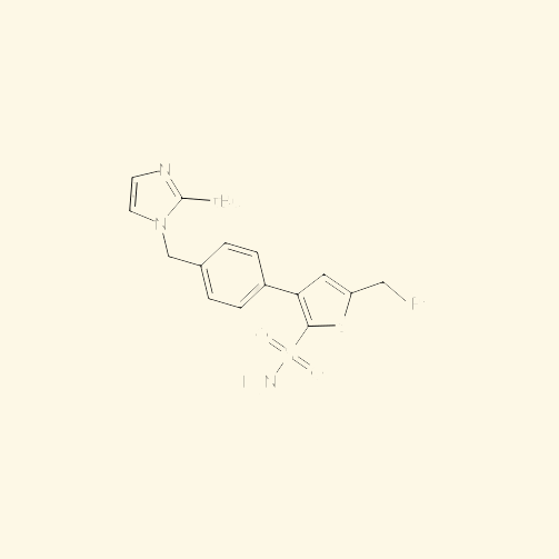 CC(C)Cc1cc(-c2ccc(Cn3ccnc3C(C)(C)C)cc2)c(S(N)(=O)=O)s1